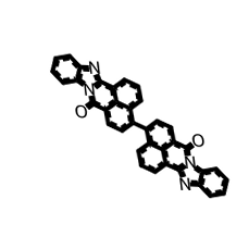 O=c1c2ccc(-c3ccc4c(=O)n5c6ccccc6nc5c5cccc3c45)c3cccc(c32)c2nc3ccccc3n12